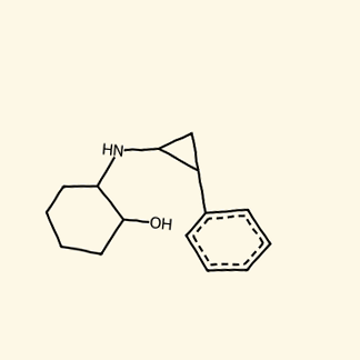 OC1CCCCC1NC1CC1c1ccccc1